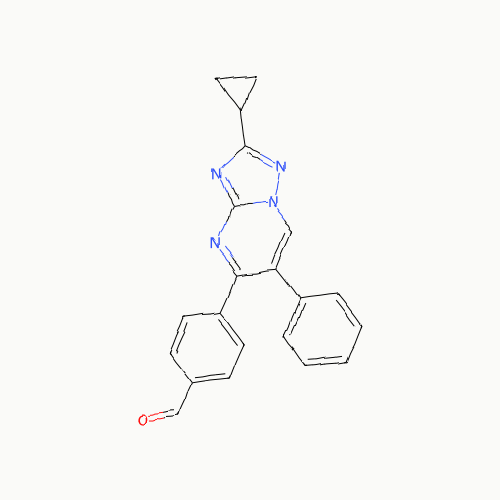 O=Cc1ccc(-c2nc3nc(C4CC4)nn3cc2-c2ccccc2)cc1